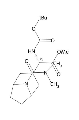 COC(=O)[C@@H](NC(=O)OC(C)(C)C)C1CC2CCC(C1)N2C(=O)N(C)C